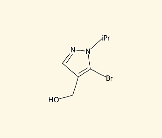 CC(C)n1ncc(CO)c1Br